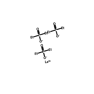 CCP(=O)([O-])CC.CCP(=O)([O-])CC.CCP(=O)([O-])CC.[La+3]